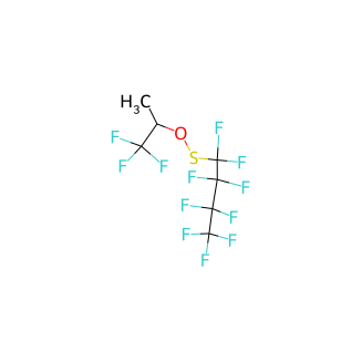 CC(OSC(F)(F)C(F)(F)C(F)(F)C(F)(F)F)C(F)(F)F